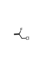 C=C(F)CCl